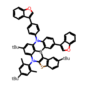 Cc1cc(C(C)(C)C)cc(C)c1N1c2cc(C(C)(C)C)cc3c2B(c2cc(-c4coc5ccccc45)ccc2N3c2ccc(-c3coc4ccccc34)cc2)c2c1sc1ccc(C(C)(C)C)cc21